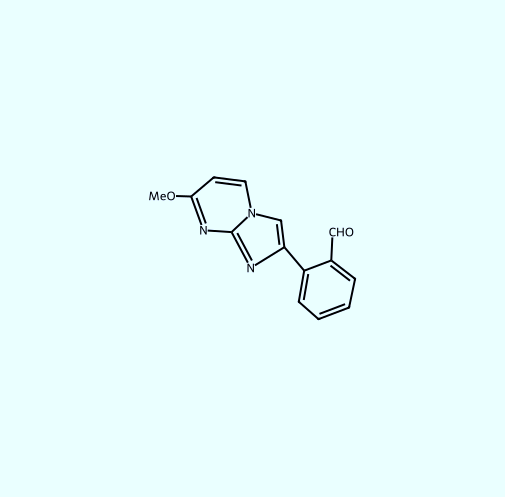 COc1ccn2cc(-c3ccccc3C=O)nc2n1